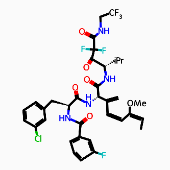 C=C(/C=C\C(=C/C)OC)[C@H](NC(=O)[C@H](Cc1cccc(Cl)c1)NC(=O)c1cccc(F)c1)C(=O)N[C@H](C(=O)C(F)(F)C(=O)NCC(F)(F)F)C(C)C